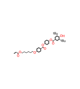 C=CC(=O)OCCCCCCOc1ccc(C(=O)Oc2ccc(OC(=O)c3cc(C(C)(C)C)c(O)c(C(C)(C)C)c3)cc2)cc1